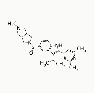 Cc1cc(-c2[nH]c3ccc(C(=O)N4CC5CN(C)CC5C4)cc3c2C(C)C)cc(C)n1